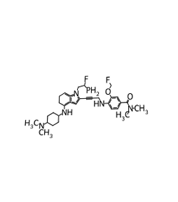 CN(C)C(=O)c1ccc(NCC#Cc2cc3c(n2CC(F)P)=CCCC=3NC2CCC(N(C)C)CC2)c(OCF)c1